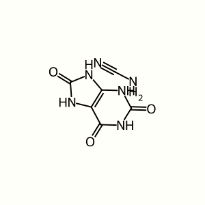 N#CN.O=c1[nH]c(=O)c2[nH]c(=O)[nH]c2[nH]1